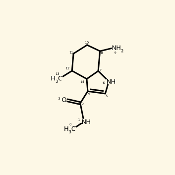 CNC(=O)C1=CNC2C(N)CCC(C)C12